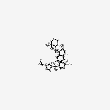 [2H][C@](Nc1cc(Cl)c2ncc(C#N)c(NC3CCOCC3(C)C)c2c1)(c1ccc(F)nc1)c1cn(C2CC2)nn1